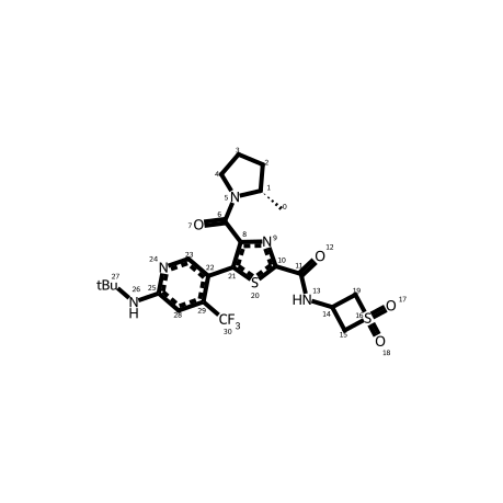 C[C@H]1CCCN1C(=O)c1nc(C(=O)NC2CS(=O)(=O)C2)sc1-c1cnc(NC(C)(C)C)cc1C(F)(F)F